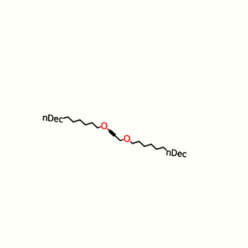 CCCCCCCCCCCCCCCCOC#CCOCCCCCCCCCCCCCCCC